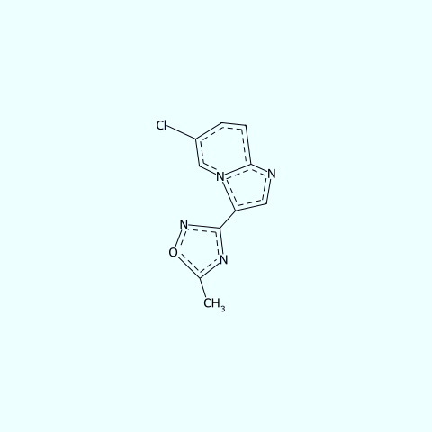 Cc1nc(-c2cnc3ccc(Cl)cn23)no1